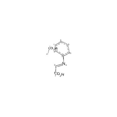 CC(=O)O.O=C(O)C=Nc1ccccc1